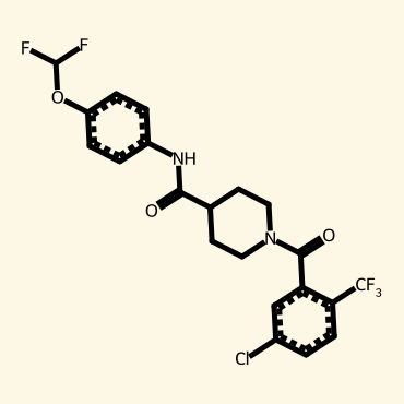 O=C(Nc1ccc(OC(F)F)cc1)C1CCN(C(=O)c2cc(Cl)ccc2C(F)(F)F)CC1